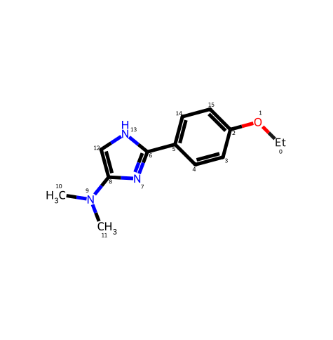 CCOc1ccc(-c2nc(N(C)C)c[nH]2)cc1